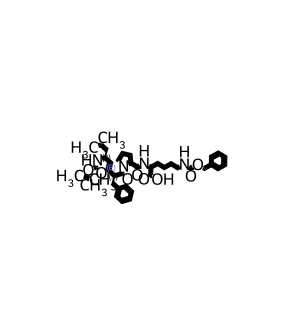 CC(C)C[C@@H](/C=C/[C@H](Cc1ccccc1)C(=O)N1CCCC1C(=O)NC(CCCCNC(=O)OCc1ccccc1)C(=O)O)NC(=O)OC(C)(C)C